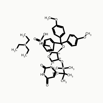 CCN(CC)CC.COc1ccc(C(O[C@H]2[C@@H](O[Si](C)(C)C(C)(C)C)[C@H](n3ccc(=O)[nH]c3=O)O[C@@H]2CO[PH](=O)O)(c2ccccc2)c2ccc(OC)cc2)cc1